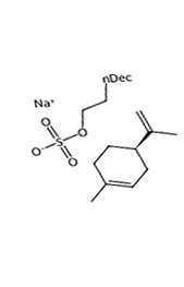 C=C(C)[C@H]1CC=C(C)CC1.CCCCCCCCCCCCOS(=O)(=O)[O-].[Na+]